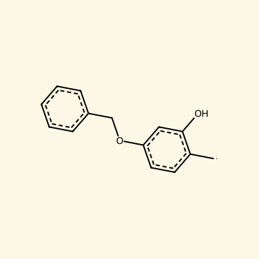 [CH2]c1ccc(OCc2ccccc2)cc1O